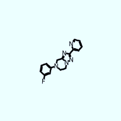 Fc1cccc(N2CCn3nc(-c4ccccn4)nc3C2)c1